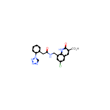 O=C(Cc1ccccc1-n1cnnn1)NCc1cc(Cl)cc2cc(C(=O)O)c(=O)[nH]c12